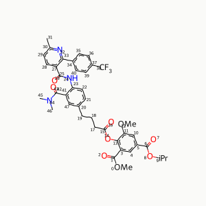 COC(=O)c1cc(C(=O)OC(C)C)cc(OC)c1OC(=O)CCCc1ccc(NC(=O)c2ccc(C)nc2-c2ccc(C(F)(F)F)cc2)c(C(=O)N(C)C)c1